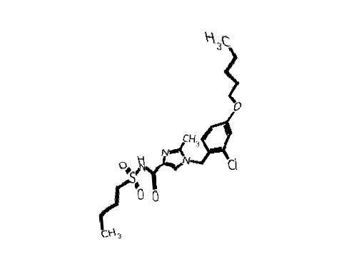 CCCCCOc1ccc(Cn2cc(C(=O)NS(=O)(=O)CCCC)nc2C)c(Cl)c1